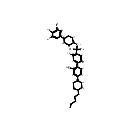 CCCCCC1CCC(c2ccc(-c3ccc(C(F)(F)OC4CCC(c5cc(F)c(F)c(F)c5)CC4)c(F)c3)c(F)c2)CC1